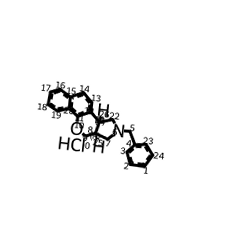 Cl.c1ccc(CN2C[C@@H]3COc4c(ccc5ccccc45)[C@@H]3C2)cc1